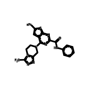 CCCc1cc2c(N3CCn4c(nnc4C(F)(F)F)C3)nc(C(=O)Nc3ccccc3)nc2s1